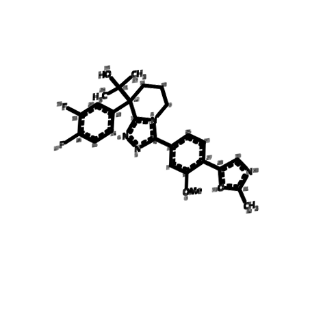 COc1cc(-c2nnc3n2CCCC3(c2ccc(F)c(F)c2)C(C)(C)O)ccc1-c1cnc(C)o1